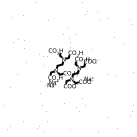 O=C(O)CN(CCN(CC(=O)O)CC(=O)O)CC(=O)O.O=C([O-])CN(CCN(CC(=O)[O-])CC(=O)O)CC(=O)[O-].[Na+].[Na+].[Na+]